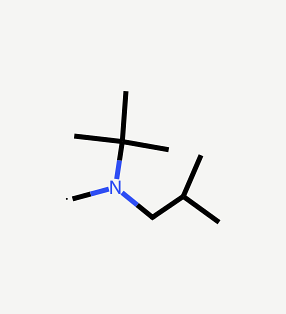 [CH2]N(CC(C)C)C(C)(C)C